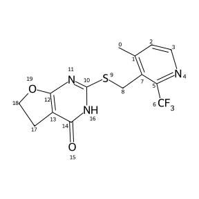 Cc1ccnc(C(F)(F)F)c1CSc1nc2c(c(=O)[nH]1)CCO2